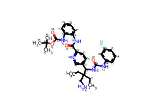 CCC(CC)(CN)C(NC(=O)Nc1cccc(F)c1)c1ccc(C(=O)Nc2ccccc2NC(=O)OC(C)(C)C)nc1